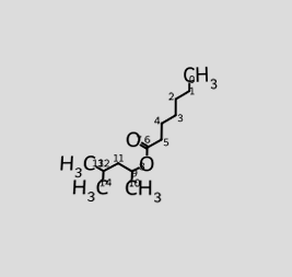 CCCCCCC(=O)OC(C)CC(C)C